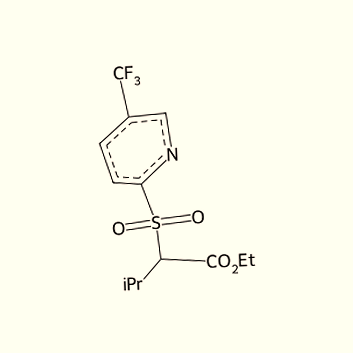 CCOC(=O)C(C(C)C)S(=O)(=O)c1ccc(C(F)(F)F)cn1